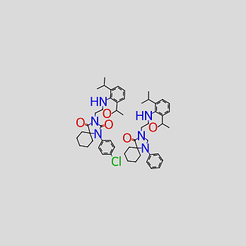 CC(C)c1cccc(C(C)C)c1NC(=O)CN1C(=O)N(c2ccc(Cl)cc2)C2(CCCCC2)C1=O.CC(C)c1cccc(C(C)C)c1NC(=O)CN1CN(c2ccccc2)C2(CCCCC2)C1=O